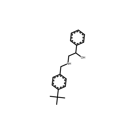 CC(C)(C)c1ccc(CNCC(O)c2ccccc2)cc1